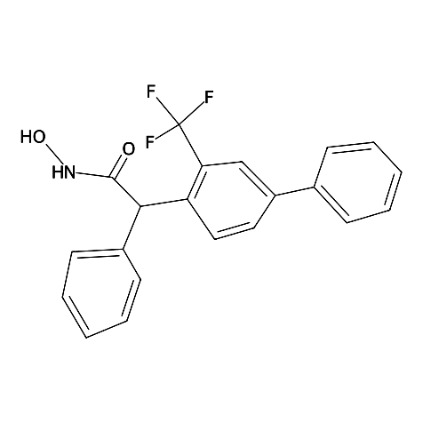 O=C(NO)C(c1ccccc1)c1ccc(-c2ccccc2)cc1C(F)(F)F